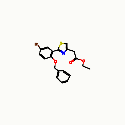 CCOC(=O)Cc1csc(-c2cc(Br)ccc2OCc2ccccc2)n1